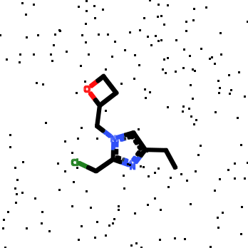 CCc1cn(CC2CCO2)c(CCl)n1